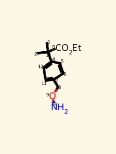 CCOC(=O)C(C)(C)c1ccc(CON)cc1